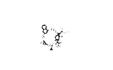 Cc1c2c(nn1C)CN(C1CC1)Cc1cc(n(C)n1)CSc1cc(c3ccccc3c1)OCCCc1c(C(=O)O)n(C)c3c-2c(Cl)ccc13